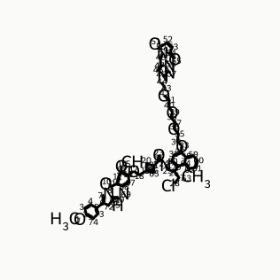 COc1ccc(C2=CN3C(=O)c4cc(OC)c(OCC56CC(C(=O)N7CC(CCl)c8c7cc(OCCOCCOCCOCCn7cc(CN9C(=O)C=CC9=O)nn7)c7cccc(C)c87)(C5)C6)cc4N=C[C@@H]3C2)cc1